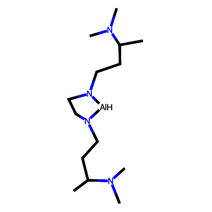 CC(CC[N]1CC[N](CCC(C)N(C)C)[AlH]1)N(C)C